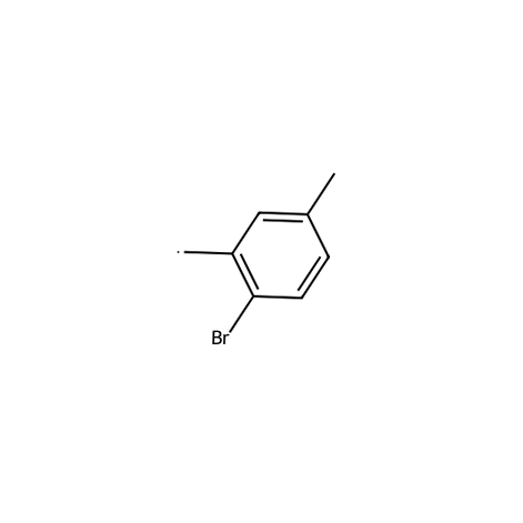 [CH2]c1cc(C)ccc1Br